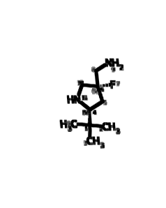 CC(C)(C)[C@@H]1C[C@](F)(CN)CN1